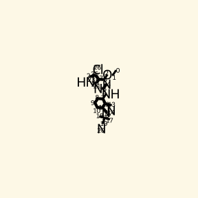 CCOc1nc(Nc2cccc3c2cnn3C(C)(C)C#N)nc2[nH]cc(Cl)c12